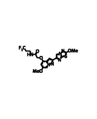 COc1cc(OCC(=O)NCCC(F)(F)F)c2cc(-c3cn4nc(OC)sc4n3)nn2c1